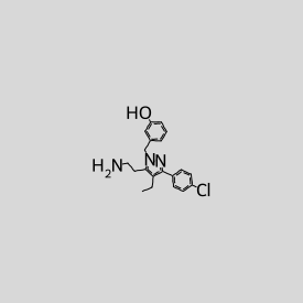 CCc1c(-c2ccc(Cl)cc2)nn(Cc2cccc(O)c2)c1CCN